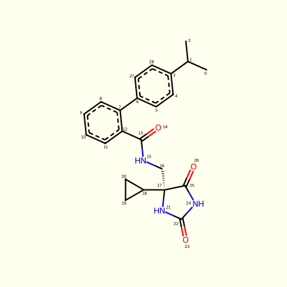 CC(C)c1ccc(-c2ccccc2C(=O)NC[C@@]2(C3CC3)NC(=O)NC2=O)cc1